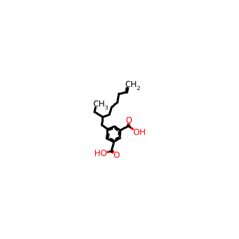 C=CCCCCC(CC)Cc1cc(C(=O)O)cc(C(=O)O)c1